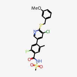 COc1cccc(CSc2ncc(-c3cc(F)c(C(=O)NS(C)(=O)=O)cc3C)cc2Cl)c1